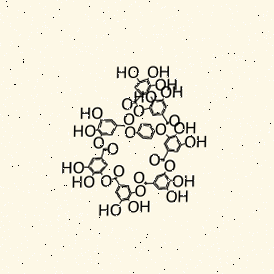 O=C(Oc1ccccc1)c1cc(O)c(O)c(OC(=O)c2cc(O)c(O)c(OC(=O)c3cc(O)c(O)c(OC(=O)c4cc(O)c(O)c(OC(=O)c5cc(O)c(O)c(OC(=O)c6cc(O)c(O)c(OC(=O)c7cc(O)c(O)c(O)c7)c6)c5)c4)c3)c2)c1